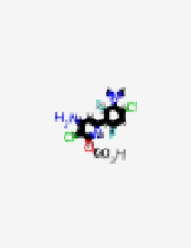 CN(C)c1c(Cl)cc(F)c(-c2cc(N)c(Cl)c(OC(=O)O)n2)c1F